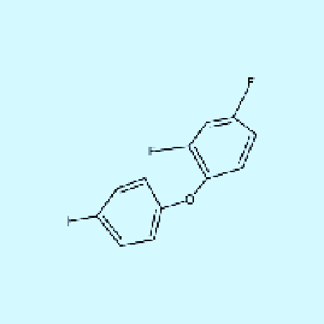 Fc1ccc(Oc2ccc(I)cc2)c(F)c1